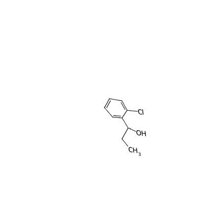 CC[C](O)c1ccccc1Cl